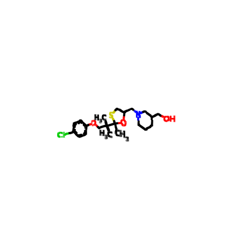 CC(C)(COc1ccc(Cl)cc1)C1(C)OC(CN2CCCC(CO)C2)CS1